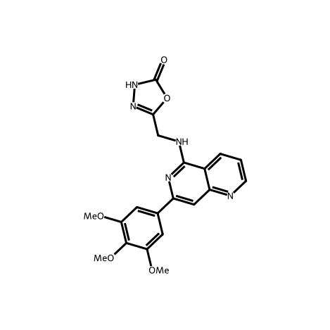 COc1cc(-c2cc3ncccc3c(NCc3n[nH]c(=O)o3)n2)cc(OC)c1OC